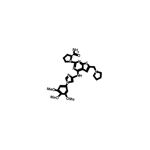 COc1cc(-n2cnc(Nc3nc(N4CCC[C@H]4C(N)=O)nc4sc(CN5CCCC5)cc34)c2)cc(OC)c1OC